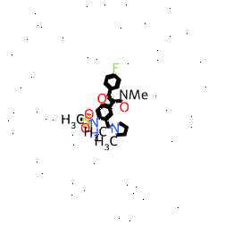 CNC(=O)c1c(-c2ccc(F)cc2)oc2cc(NS(C)(=O)=O)c([C@H](C)N3CCC[C@@H]3C)cc12